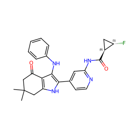 CC1(C)CC(=O)c2c([nH]c(-c3ccnc(NC(=O)[C@H]4C[C@@H]4F)c3)c2Nc2ccccc2)C1